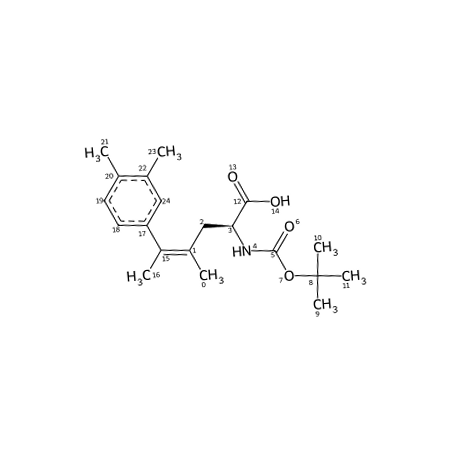 C/C(C[C@H](NC(=O)OC(C)(C)C)C(=O)O)=C(\C)c1ccc(C)c(C)c1